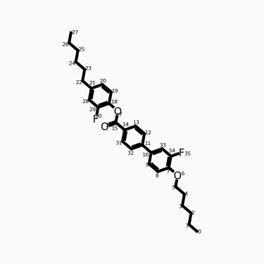 CCCCCCOc1ccc(-c2ccc(C(=O)Oc3ccc(CCCCCC)cc3F)cc2)cc1F